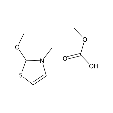 COC(=O)O.COC1SC=CN1C